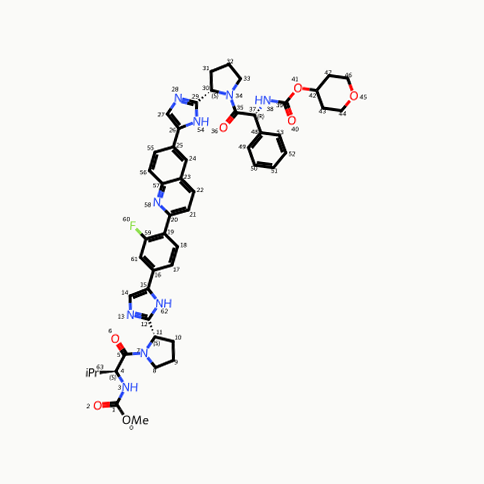 COC(=O)N[C@H](C(=O)N1CCC[C@H]1c1ncc(-c2ccc(-c3ccc4cc(-c5cnc([C@@H]6CCCN6C(=O)[C@H](NC(=O)OC6CCOCC6)c6ccccc6)[nH]5)ccc4n3)c(F)c2)[nH]1)C(C)C